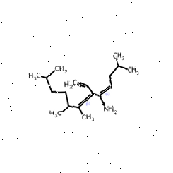 C=CC(/C(N)=C\CC(C)C)=C(/C)C(C)CCC(C)C